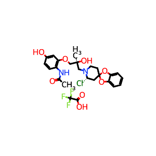 CC(=O)Nc1ccc(O)cc1OC[C@@](C)(O)CN1CCC2(C[C@@H]1Cl)Oc1ccccc1O2.O=C(O)C(F)(F)F